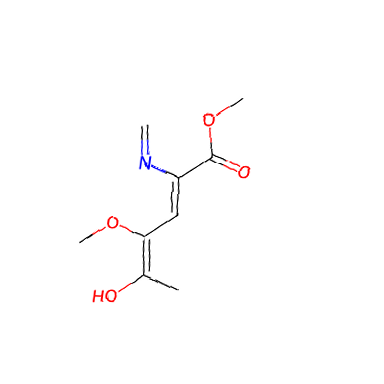 C=N/C(=C\C(OC)=C(/C)O)C(=O)OC